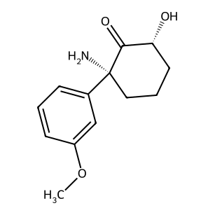 COc1cccc([C@]2(N)CCC[C@@H](O)C2=O)c1